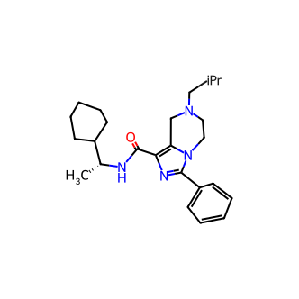 CC(C)CN1CCn2c(-c3ccccc3)nc(C(=O)N[C@H](C)C3CCCCC3)c2C1